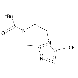 CC(C)(C)C(=O)N1CCn2c(C(F)(F)F)cnc2C1